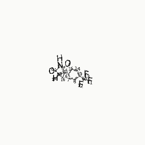 O=C1NC(=O)[C@@]2(c3ccc(C(F)(F)F)cc3)C[C@@H]12